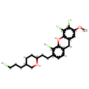 CCOc1cc2c(c(F)c1F)Oc1c(ccc(CCC3CCC(CCCF)CO3)c1F)C2